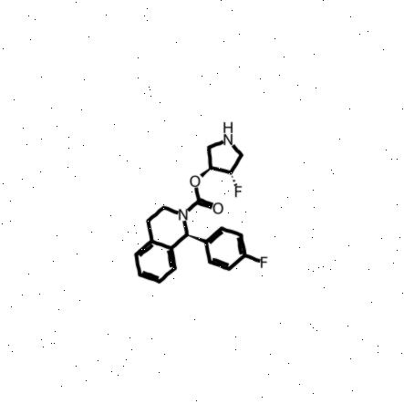 O=C(O[C@H]1CNC[C@@H]1F)N1CCc2ccccc2[C@@H]1c1ccc(F)cc1